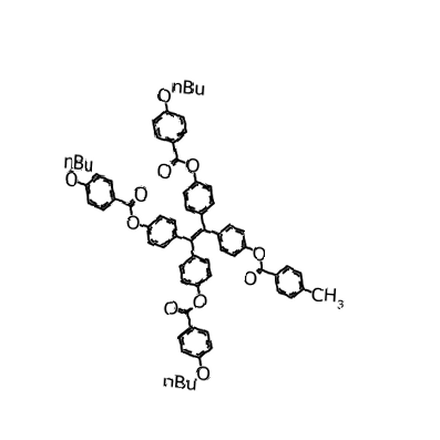 CCCCOc1ccc(C(=O)Oc2ccc(C(=C(c3ccc(OC(=O)c4ccc(OCCCC)cc4)cc3)c3ccc(OC(=O)c4ccc(OCCCC)cc4)cc3)c3ccc(OC(=O)c4ccc(C)cc4)cc3)cc2)cc1